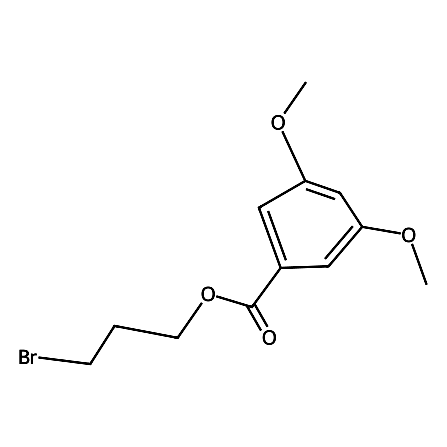 COc1cc(OC)cc(C(=O)OCCCBr)c1